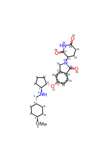 CO[C@H]1CC[C@H](CN[C@H]2CCC[C@@H]2Oc2ccc3c(c2)CN(C2CCC(=O)NC2=O)C3=O)CC1